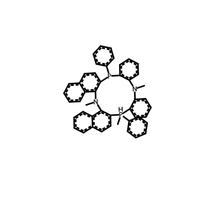 CN1c2ccccc2P(c2ccccc2)c2ccc3ccccc3c2N(C)c2c(ccc3ccccc23)[PH](C)(c2ccccc2)c2ccccc21